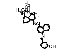 CC1(C)NC2=CC=CC3=C(/N=N/c4ccc(/N=N/c5cccc(O)c5)c5ccccc45)C=CC(C)(N1)C23